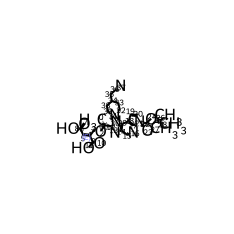 C[C@@H](OC/C(=C\C(=O)O)C(=O)O)c1nc2cnc3c(ccn3C(=O)OC(C)(C)C)c2n1N1CCC(CC#N)CC1